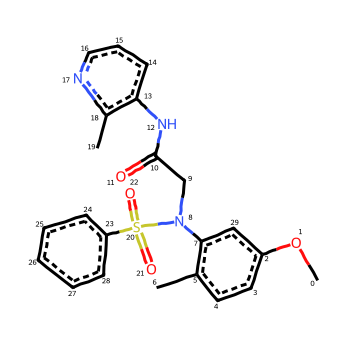 COc1ccc(C)c(N(CC(=O)Nc2cccnc2C)S(=O)(=O)c2ccccc2)c1